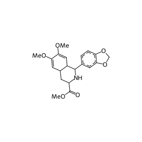 COC(=O)C1CC2C=C(OC)C(OC)=CC2C(c2ccc3c(c2)OCO3)N1